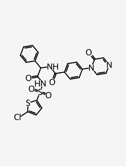 O=C(NC(C(=O)NS(=O)(=O)c1ccc(Cl)s1)c1ccccc1)c1ccc(-n2ccncc2=O)cc1